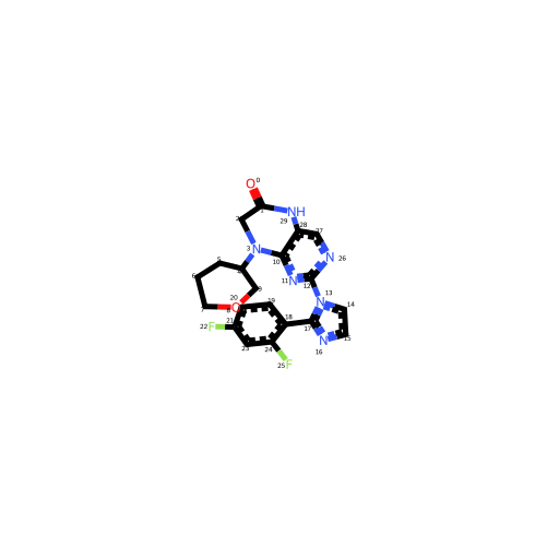 O=C1CN(C2CCCOC2)c2nc(-n3ccnc3-c3ccc(F)cc3F)ncc2N1